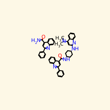 CN(C)c1cc(N[C@H]2CC[C@@H](NC(=O)c3cc(-c4ccccc4)nc4ccccc34)CC2)nc2ccccc12.NC(=O)c1cc(-c2ccccc2)nc2ccccc12